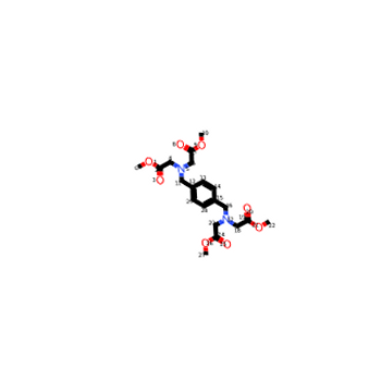 COC(=O)CN(CC(=O)OC)Cc1ccc(CN(CC(=O)OC)CC(=O)OC)cc1